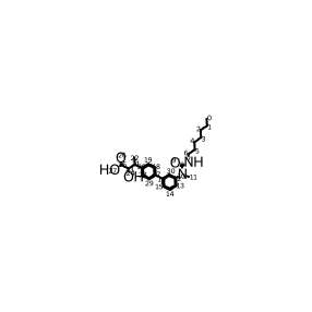 CCCCCCCNC(=O)N(C)c1cccc(-c2ccc(C(C)C(O)C(=O)O)cc2)c1